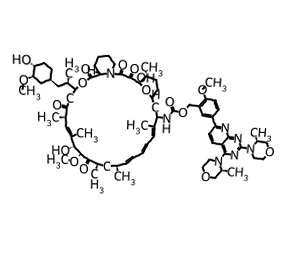 COc1ccc(-c2ccc3c(N4CCOC[C@@H]4C)nc(N4CCOC[C@@H]4C)nc3n2)cc1COC(=O)NC1C[C@@H]2CC[C@@H](C)[C@@](O)(O2)C(=O)C(=O)N2CCCC[C@H]2C(=O)OC([C@H](C)C[C@@H]2CC[C@@H](O)[C@H](OC)C2)CC(=O)[C@H](C)/C=C(\C)[C@@H](O)[C@@H](OC)C(=O)[C@H](C)C[C@H](C)/C=C/C=C/C=C/1C